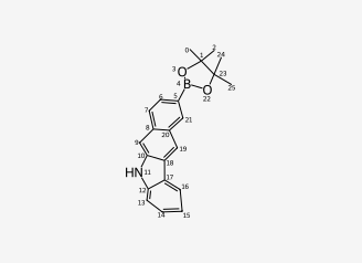 CC1(C)OB(c2ccc3cc4[nH]c5ccccc5c4cc3c2)OC1(C)C